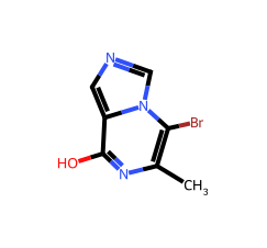 Cc1nc(O)c2cncn2c1Br